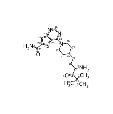 CC(C)(C)C(=O)C(N)CCC1CCN(c2ncnc3cc(C(N)=O)sc23)CC1